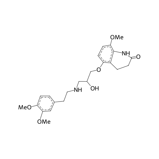 COc1ccc(CCNCC(O)COc2ccc(OC)c3c2CCC(=O)N3)cc1OC